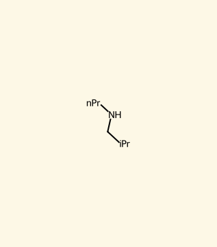 C[CH]CNCC(C)C